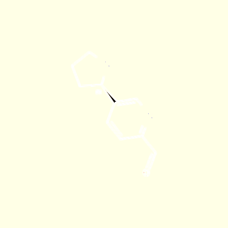 O=Cc1ccc([C@H]2CCCN2)cn1